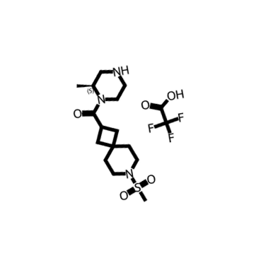 C[C@H]1CNCCN1C(=O)C1CC2(CCN(S(C)(=O)=O)CC2)C1.O=C(O)C(F)(F)F